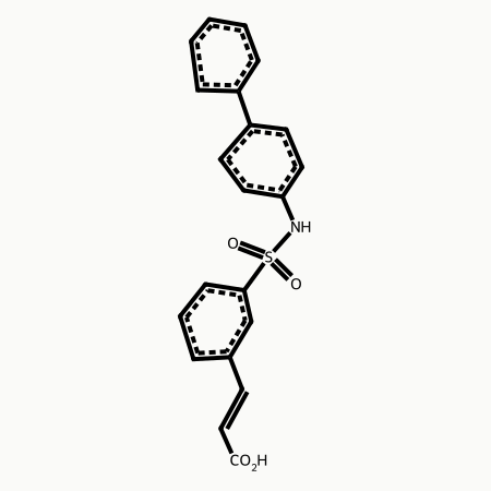 O=C(O)C=Cc1cccc(S(=O)(=O)Nc2ccc(-c3ccccc3)cc2)c1